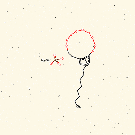 CCCCCCCCCc1c2cccc1OOOOOOOOOCC2.O=S(=O)([O-])[O-].[Na+].[Na+]